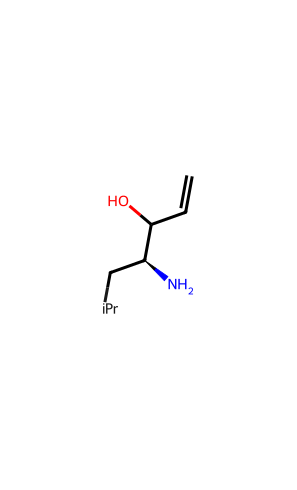 C=CC(O)[C@@H](N)CC(C)C